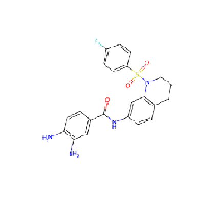 Nc1ccc(C(=O)Nc2ccc3c(c2)N(S(=O)(=O)c2ccc(F)cc2)CCC3)cc1N